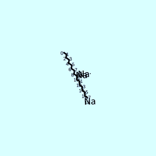 CCCCCCCCCCCCCCCCC[CH2][Na].[Na].[Na]